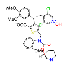 COc1ccc([C@H](Cc2c(Cl)c[n+](O)cc2Cl)c2cc(CN(C(=O)O[C@H]3CN4CCC3CC4)c3ccccc3OC)sc2C(=O)[O-])cc1OC